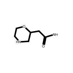 [NH]C(=O)CC1CNCCO1